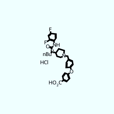 CCCCN(C(=O)Nc1ccc(F)cc1F)C1CCN(Cc2ccc(Oc3ccc(C(=O)O)cc3)cc2)CC1.Cl